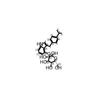 CC(C)c1ccc(Cc2c[nH]c3cccc(O[C@]4(O)[C@@H](O)O[C@H](CO)[C@@H](O)[C@@H]4O)c23)cc1